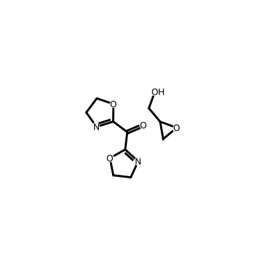 O=C(C1=NCCO1)C1=NCCO1.OCC1CO1